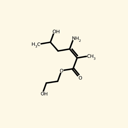 CC(C(=O)OCCO)=C(N)CC(C)O